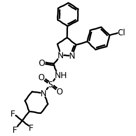 O=C(NS(=O)(=O)N1CCC(C(F)(F)F)CC1)N1CC(c2ccccc2)C(c2ccc(Cl)cc2)=N1